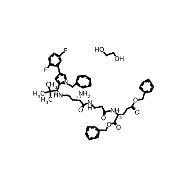 CC(C)(C)[C@@H](NCC[C@H](N)C(=O)NCCC(=O)N[C@@H](CCC(=O)OCc1ccccc1)C(=O)OCc1ccccc1)c1cc(-c2cc(F)ccc2F)cn1Cc1ccccc1.OCCO